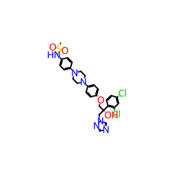 CS(=O)(=O)Nc1ccc(N2CCN(c3ccc(OCC(O)(Cn4cncn4)c4ccc(Cl)cc4Cl)cc3)CC2)cc1